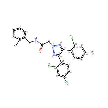 Cc1ccccc1CNC(=O)Cn1nc(-c2ccc(Cl)cc2Cl)c(-c2ccc(Cl)cc2Cl)n1